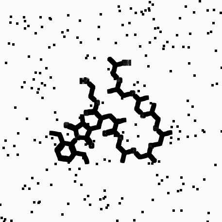 CCc1cccc(CC)c1N1C(=O)C(C)C(CC(CC(C)C(=O)OCC(C)OCC(C)OCC(C)OCC(C)OCC(C)OCC(C)OCC(C)O)C(=O)OCCO)C1=O